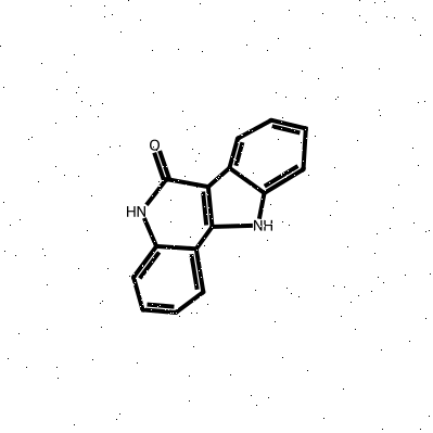 O=c1[nH]c2ccccc2c2[nH]c3ccccc3c12